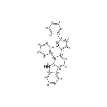 c1ccc(-c2nnc(-c3ccc4c([nH]c5ccccc54)c3-c3ccccc3)o2)cc1